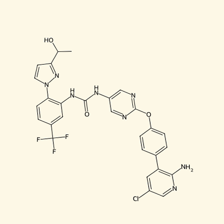 CC(O)c1ccn(-c2ccc(C(F)(F)F)cc2NC(=O)Nc2cnc(Oc3ccc(-c4cc(Cl)cnc4N)cc3)nc2)n1